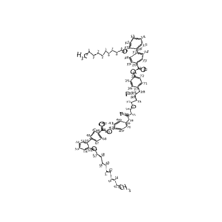 CCCCCCCCCCOc1ccccc1-c1ccc(C(=O)Oc2ccc(C[C@@H](F)CCOCC[C@H](F)Cc3ccc(OC(=O)c4ccc(-c5ccccc5OCCCCCCCCCC)cc4)cc3)cc2)cc1